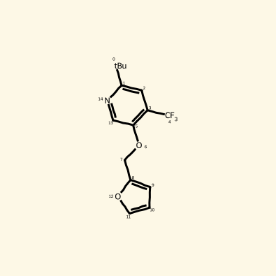 CC(C)(C)c1cc(C(F)(F)F)c(OCc2ccco2)cn1